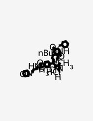 CCCCN1C(=O)[C@H](CC2CCCCC2)NC(=O)C12CCN(C(c1ccc(S(=O)(=O)NCCCN3CCOCC3)cc1)c1c(C)n[nH]c1C)CC2.Cl